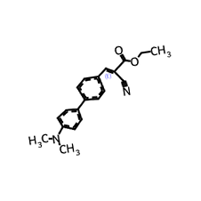 CCOC(=O)/C(C#N)=C/c1ccc(-c2ccc(N(C)C)cc2)cc1